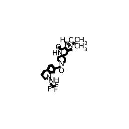 CC(C)(C)n1cc2c(n1)C(=O)NC1(CCN(C(=O)c3ccc4c(c3)N(NCC(F)(F)F)CC=C4)CC1)C2